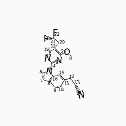 COc1nc(-n2ccc3ccc(CC#N)cc32)ncc1CC(F)F